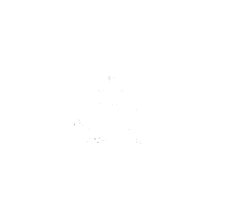 CCC1(C)OCC(C(C(=O)OC)=C(C)C2COC(C)(CC(C)C)O2)O1